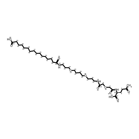 CC(=O)CC[C@H](NC(=O)COCC(=O)NCCCOCCCCOCCCNC(=O)CCCCCCCCCCCCCCC(=O)O)C(=O)O